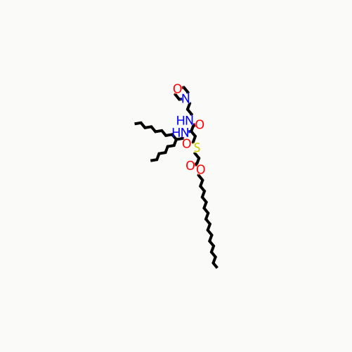 CCCCCCCCCCCCCCCCCCOC(=O)CCSCCC(NC(=O)C(CCCCCC)CCCCCCCC)C(=O)NCCCN1CCOCC1